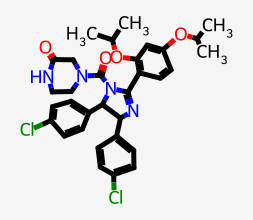 CC(C)Oc1ccc(C2=NC(c3ccc(Cl)cc3)C(c3ccc(Cl)cc3)N2C(=O)N2CCNC(=O)C2)c(OC(C)C)c1